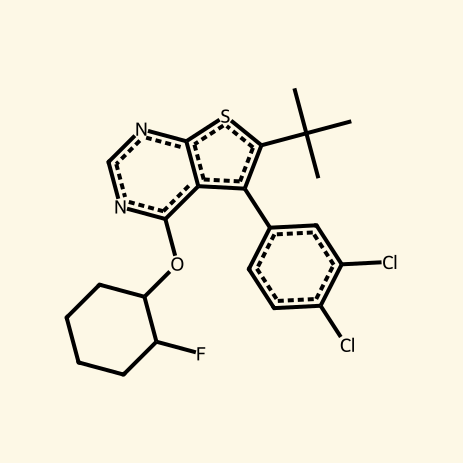 CC(C)(C)c1sc2ncnc(OC3CCCCC3F)c2c1-c1ccc(Cl)c(Cl)c1